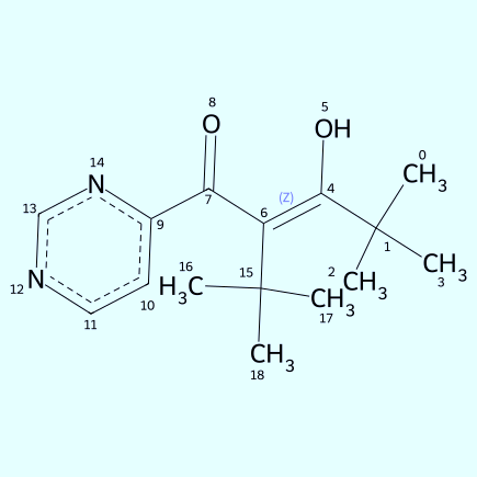 CC(C)(C)/C(O)=C(/C(=O)c1ccncn1)C(C)(C)C